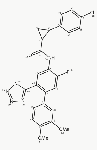 COc1ccc(-c2cc(F)c(NC(=O)C3CC3c3ccc(Cl)cc3)cc2-c2nnn[nH]2)cc1OC